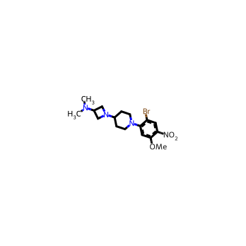 COc1cc(N2CCC(N3CC(N(C)C)C3)CC2)c(Br)cc1[N+](=O)[O-]